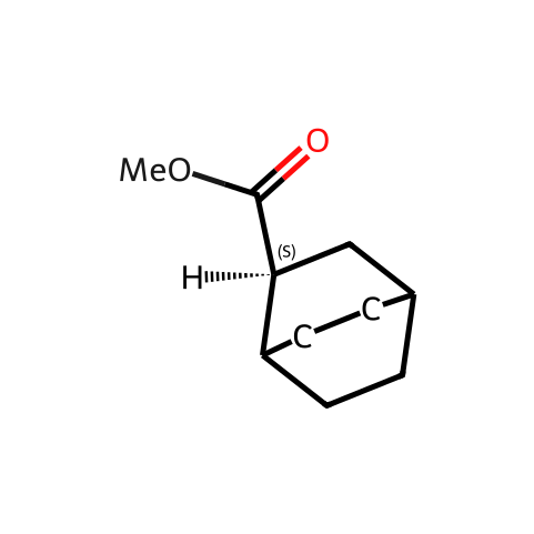 COC(=O)[C@H]1CC2CCC1CC2